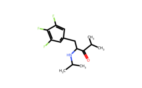 CC(C)NC(Cc1cc(F)c(F)c(F)c1)C(=O)C(C)C